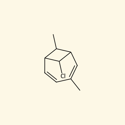 CC1=CC2C(C)C(C=C1)C2Cl